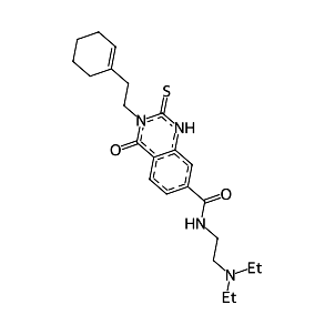 CCN(CC)CCNC(=O)c1ccc2c(=O)n(CCC3=CCCCC3)c(=S)[nH]c2c1